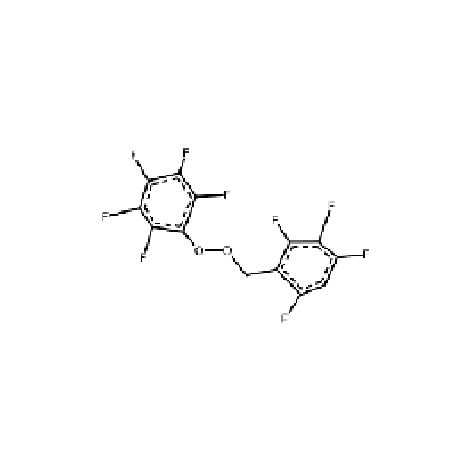 Fc1cc(F)c(COOc2c(F)c(F)c(F)c(F)c2F)c(F)c1F